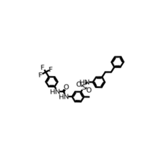 Cc1ccc(NC(=O)Nc2ccc(C(F)(F)F)cc2)cc1S(=O)(=O)Nc1cccc(CCc2ccccc2)c1